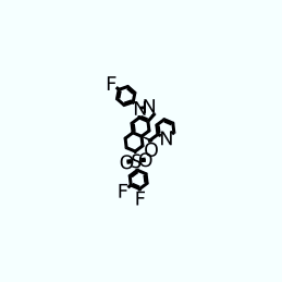 O=C(c1ccccn1)[C@]12Cc3cnn(-c4ccc(F)cc4)c3C=C1CC[C@H](S(=O)(=O)c1ccc(F)c(F)c1)C2